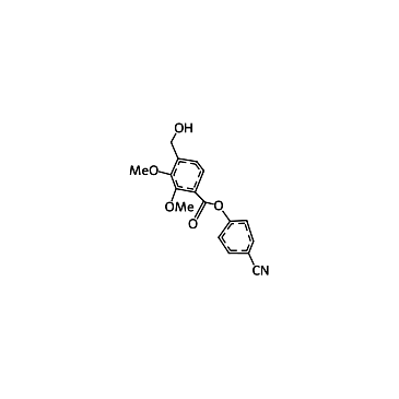 COc1c(CO)ccc(C(=O)Oc2ccc(C#N)cc2)c1OC